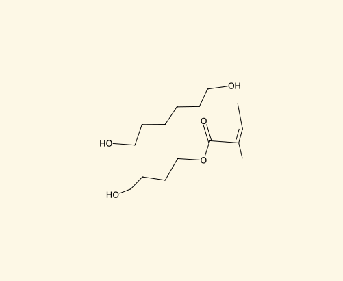 CC=C(C)C(=O)OCCCCO.OCCCCCCO